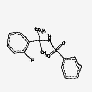 CC(NS(=O)(=O)c1ccccc1)(C(=O)O)c1ccccc1F